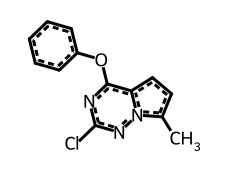 Cc1ccc2c(Oc3ccccc3)nc(Cl)nn12